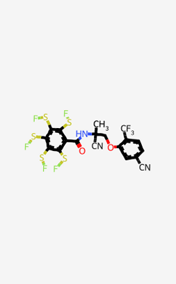 CC(C#N)(COc1cc(C#N)ccc1C(F)(F)F)NC(=O)c1c(SF)c(SF)c(SF)c(SF)c1SF